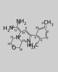 Cc1ccc(C)c(/C(N)=C/C(=C(N)N)N2CCOCC2)c1